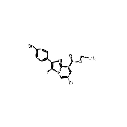 CCOC(=O)c1cc(Cl)cn2c(I)c(-c3ccc(Br)cc3)nc12